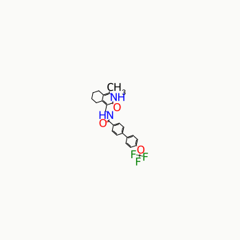 Cc1[nH]c(=O)c(CNC(=O)c2ccc(-c3ccc(OC(F)(F)F)cc3)cc2)c2c1CCCC2